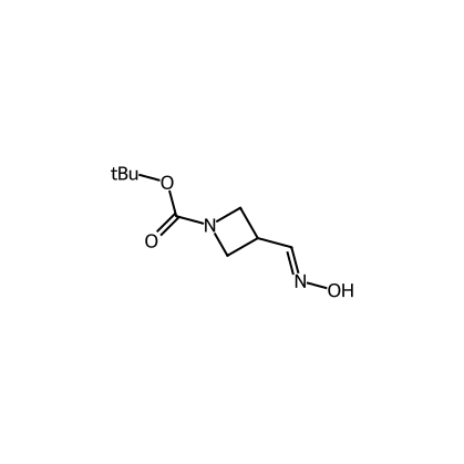 CC(C)(C)OC(=O)N1CC(/C=N/O)C1